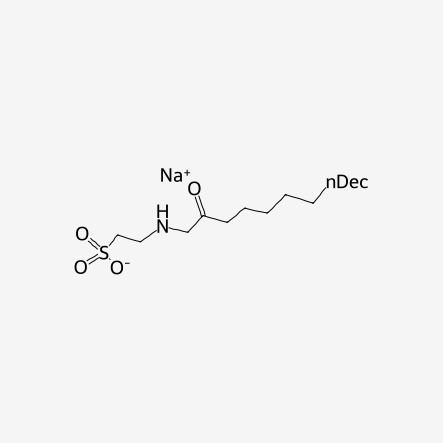 CCCCCCCCCCCCCCCC(=O)CNCCS(=O)(=O)[O-].[Na+]